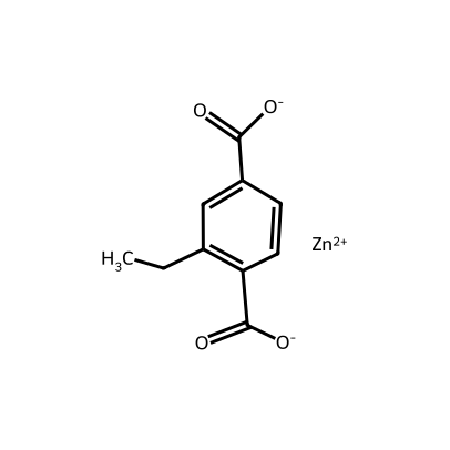 CCc1cc(C(=O)[O-])ccc1C(=O)[O-].[Zn+2]